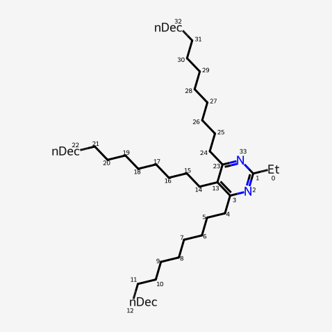 [CH2]Cc1nc(CCCCCCCCCCCCCCCCCC)c(CCCCCCCCCCCCCCCCCC)c(CCCCCCCCCCCCCCCCCC)n1